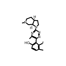 Cc1ccc(O)c(-c2nnc(N3CC[C@@H]4CCN(C)C[C@@H]43)nc2C)c1F